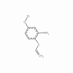 C=CSc1ccc(OCC)cc1N